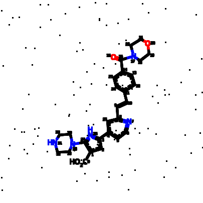 O=C(O)c1cc(-c2ccnc(C=Cc3ccc(C(=O)N4CCOCC4)cc3)c2)[nH]c1N1CCNCC1